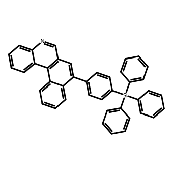 c1ccc([Si](c2ccccc2)(c2ccccc2)c2ccc(-c3cc4cnc5ccccc5c4c4ccccc34)cc2)cc1